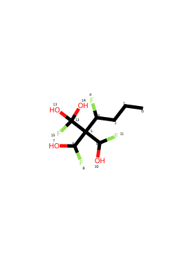 CCCC(F)C(C(O)F)(C(O)F)C(O)(O)F